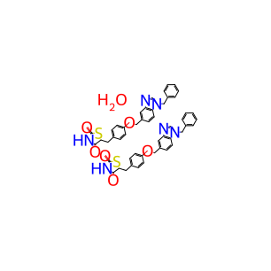 O.O=C1NC(=O)C(Cc2ccc(OCc3ccc4c(c3)ncn4Cc3ccccc3)cc2)S1.O=C1NC(=O)C(Cc2ccc(OCc3ccc4c(c3)ncn4Cc3ccccc3)cc2)S1